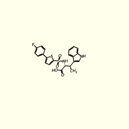 C[C@H](c1c[nH]c2ccccc12)[C@@H](NS(=O)(=O)c1ccc(-c2ccc(F)cc2)s1)C(=O)O